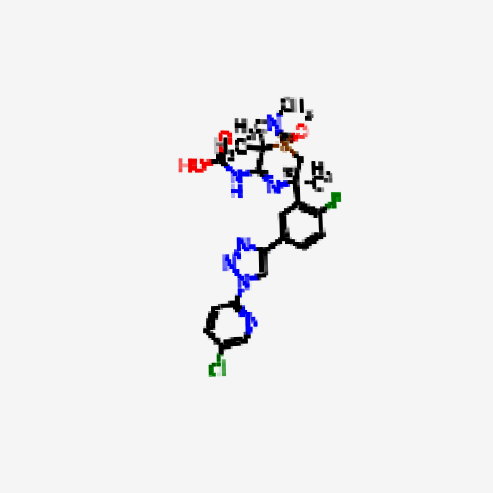 CN=[S@@]1(=O)C[C@@](C)(c2cc(-c3cn(-c4ccc(Cl)cn4)nn3)ccc2F)N=C(NC(=O)O)C1(C)C